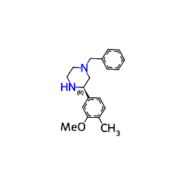 COc1cc([C@@H]2CN(Cc3ccccc3)CCN2)ccc1C